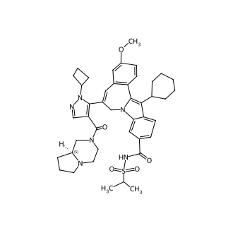 COc1ccc2c(c1)C=C(c1c(C(=O)N3CCN4CCC[C@H]4C3)cnn1C1CCC1)Cn1c-2c(C2CCCCC2)c2ccc(C(=O)NS(=O)(=O)C(C)C)cc21